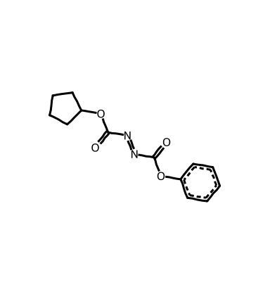 O=C(N=NC(=O)OC1CCCC1)Oc1ccccc1